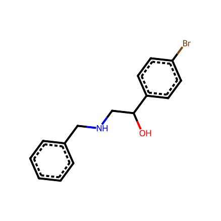 OC(CNCc1ccccc1)c1ccc(Br)cc1